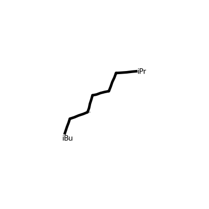 CCC(C)C[CH]CCCC(C)C